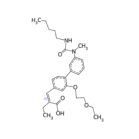 CCCCCNC(=O)N(C)c1cccc(-c2ccc(/C=C(/CC)C(=O)O)cc2OCCOCC)c1